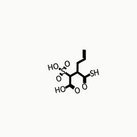 C=CCC(C(=O)S)C(C(=O)O)S(=O)(=O)O